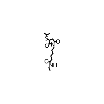 CCNC(=O)CCCCCN1C(=O)CC(SC(C)C)C1=O